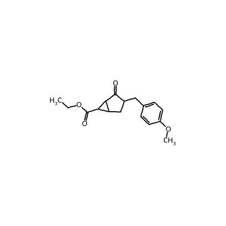 CCOC(=O)C1C2CC(Cc3ccc(OC)cc3)C(=O)C21